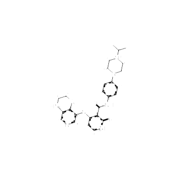 CC(C)N1CCN(c2ccc(NC(=O)c3c(Nc4cncc5c4OCCN5)cc[nH]c3=O)cc2)CC1